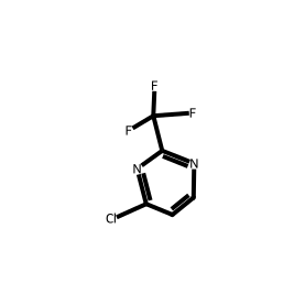 FC(F)(F)c1nccc(Cl)n1